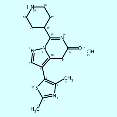 Cc1nc(C)c(-c2cnn3c2CC(=O)N=C3C2CCNCC2)s1.Cl